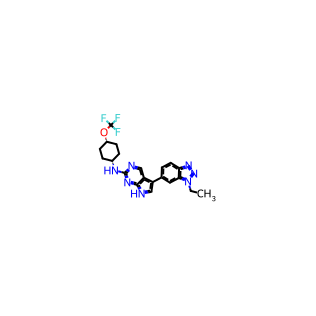 CCn1nnc2ccc(-c3c[nH]c4nc(N[C@H]5CC[C@@H](OC(F)(F)F)CC5)ncc34)cc21